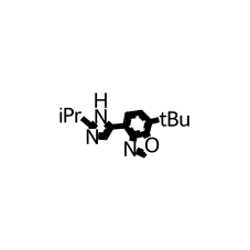 CC(C)c1ncc(-c2ccc(C(C)(C)C)c3ocnc23)[nH]1